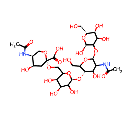 CC(=O)NC1C(O)[C@H](O[C@@H]2OC(CO[C@]3(C(=O)O)C[C@@H](O)[C@@H](NC(C)=O)CO3)[C@H](O)[C@H](O)C2O)C(CO)O[C@H]1OC1C(O)[C@H](O)[C@@H](CO)O[C@@H]1O